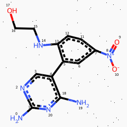 Nc1ncc(-c2cc([N+](=O)[O-])ccc2NCCO)c(N)n1